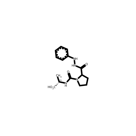 C[C@H](NC(=O)N1CCCC1C(=O)NNc1ccccc1)C(=O)O